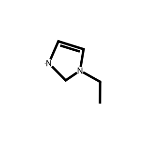 CCN1C=C[N]C1